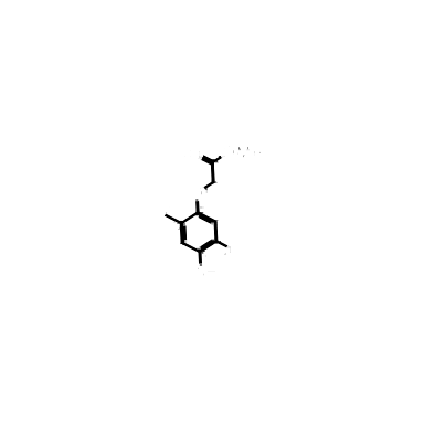 COC(=O)COc1cc(Cl)c(S)cc1C